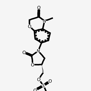 CN1C(=O)COc2cc(N3C[C@H](COS(C)(=O)=O)OC3=O)ccc21